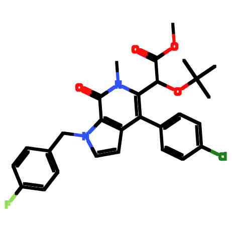 COC(=O)C(OC(C)(C)C)c1c(-c2ccc(Cl)cc2)c2ccn(Cc3ccc(F)cc3)c2c(=O)n1C